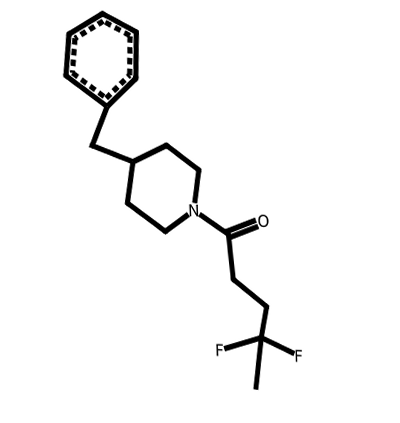 CC(F)(F)CCC(=O)N1CCC(Cc2ccccc2)CC1